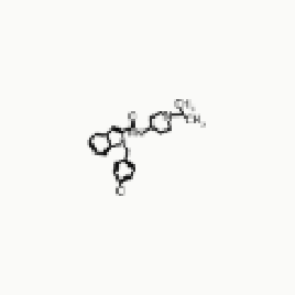 CC(C)N1CCC(NC(=O)c2cc3ccccc3n2Cc2ccc(Cl)cc2)CC1